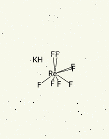 [F][Re]([F])([F])([F])([F])([F])([F])[F].[KH]